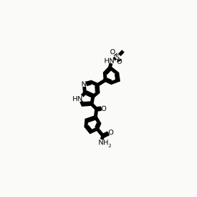 CS(=O)(=O)Nc1cccc(-c2cnc3[nH]cc(C(=O)c4cccc(C(N)=O)c4)c3c2)c1